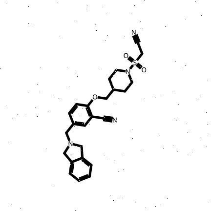 N#CCS(=O)(=O)N1CCC(COc2ccc(CN3Cc4ccccc4C3)cc2C#N)CC1